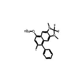 CCCCOc1cc(I)c(-c2ccccc2)c2cc3c(cc12)N(C)C(F)(F)N3C